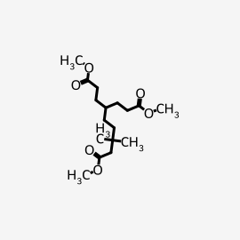 COC(=O)CCC(CCC(=O)OC)CCC(C)(C)CC(=O)OC